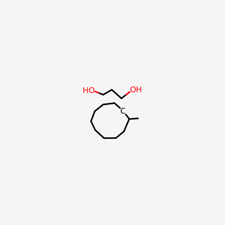 CC1CCCCCCCCC1.OCCCO